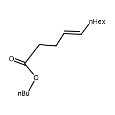 CCCCCCC=CCCC(=O)OCCCC